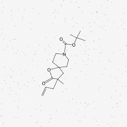 C=CCC1(C)CC2(CCN(C(=O)OC(C)(C)C)CC2)OC1=O